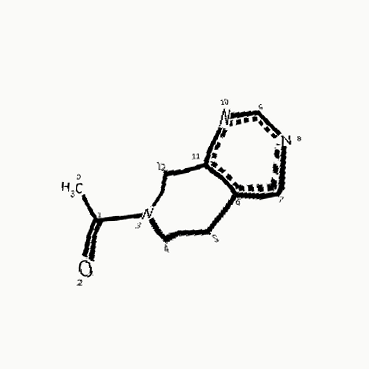 CC(=O)N1CCc2cncnc2C1